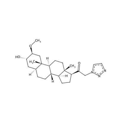 CO[C@H]1C[C@@]2(C)[C@@H](CC[C@@H]3[C@@H]2CC[C@]2(C)[C@@H](C(=O)Cn4ccnn4)CC[C@@H]32)C[C@@H]1O